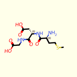 CSCC[C@H](N)C(=O)N[C@@H](CC(=O)O)C(=O)NCC(=O)O